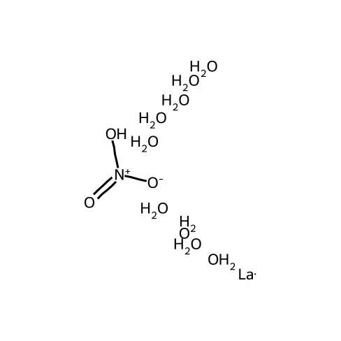 O.O.O.O.O.O.O.O.O.O=[N+]([O-])O.[La]